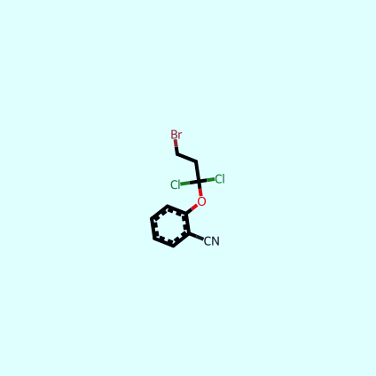 N#Cc1ccccc1OC(Cl)(Cl)CCBr